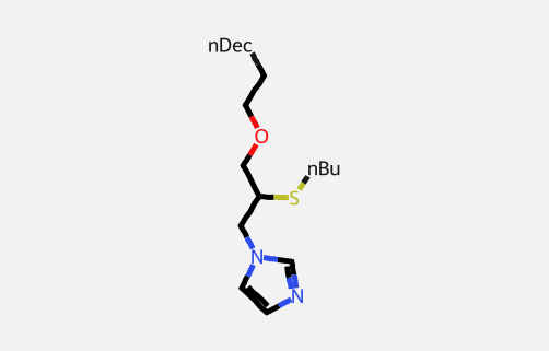 CCCCCCCCCCCCOCC(Cn1ccnc1)SCCCC